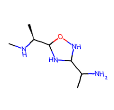 CN[C@@H](C)C1NC(C(C)N)NO1